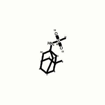 CC12CC3CC(C1)CC(NS(C)(=O)=O)(C3)C2